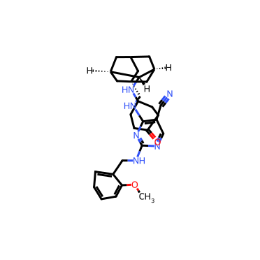 COc1ccccc1CNc1ncc(C#N)c(NC[C@@]23CC4C[C@H](C2)[C@@H](NC2CCC(=O)CC2)[C@@H](C4)C3)n1